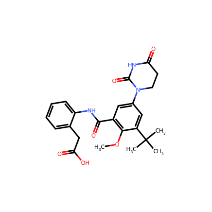 COc1c(C(=O)Nc2ccccc2CC(=O)O)cc(N2CCC(=O)NC2=O)cc1C(C)(C)C